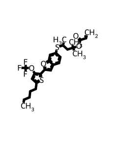 C=CC(=O)OC(C)(C)CC(C)Sc1ccc2cc(-c3sc(CCCCC)cc3OC(F)(F)F)oc2c1